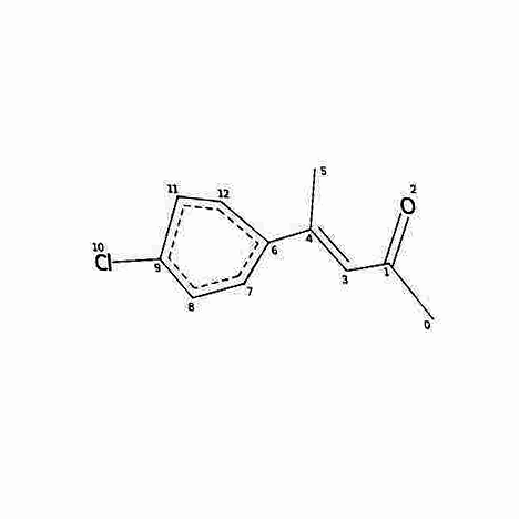 CC(=O)/C=C(\C)c1ccc(Cl)cc1